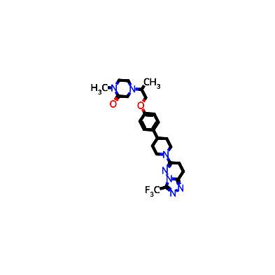 CC(COc1ccc(C2CCN(C3=Nn4c(nnc4C(F)(F)F)CC3)CC2)cc1)N1CCN(C)C(=O)C1